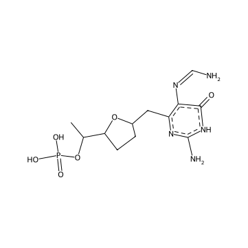 CC(OP(=O)(O)O)C1CCC(Cc2nc(N)[nH]c(=O)c2/N=C\N)O1